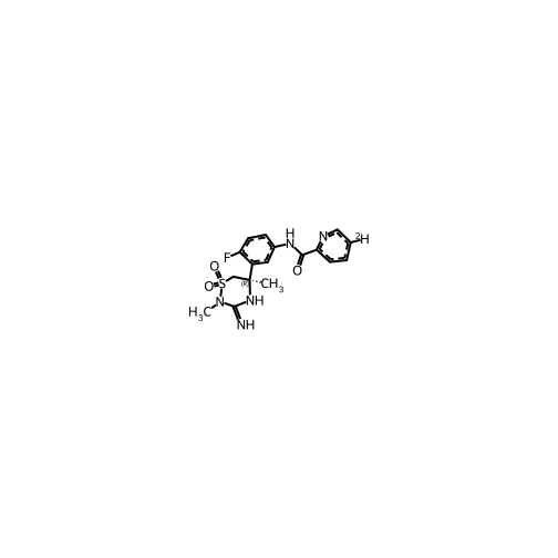 [2H]c1ccc(C(=O)Nc2ccc(F)c([C@]3(C)CS(=O)(=O)N(C)C(=N)N3)c2)nc1